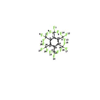 FC(F)(F)c1c(C(F)(F)F)c(C(F)(F)F)c(C(F)(F)F)c(C(F)(F)F)c1C(F)(F)F